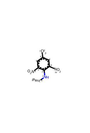 CCCC(C)Nc1c([N+](=O)[O-])cc(C(F)(F)F)cc1[N+](=O)[O-]